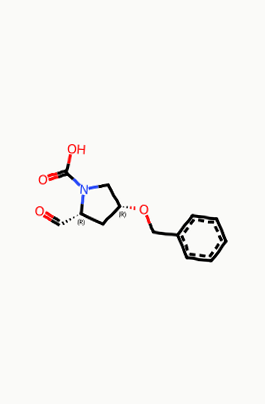 O=C[C@H]1C[C@@H](OCc2ccccc2)CN1C(=O)O